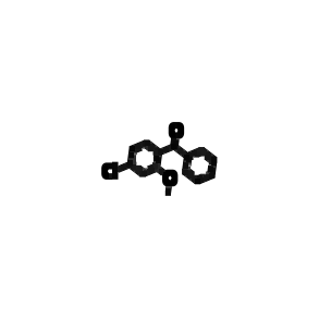 COc1cc(Cl)ccc1C(=O)c1ccccc1